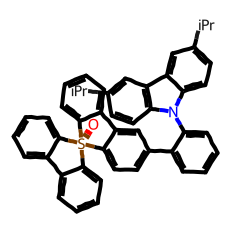 CC(C)c1ccc2c(c1)c1cc(C(C)C)ccc1n2-c1ccccc1-c1ccc2c(c1)-c1ccccc1S21(=O)c2ccccc2-c2ccccc21